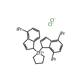 CC(C)c1cccc2c1C=C[CH]2[Zr+2]1([CH]2C=Cc3c(C(C)C)ccc(C(C)C)c32)[CH2]CC[CH2]1.[Cl-].[Cl-]